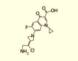 NCC(Cl)=C1CN(c2cc3c(cc2F)c(=O)c(C(=O)O)cn3C2CC2)C1